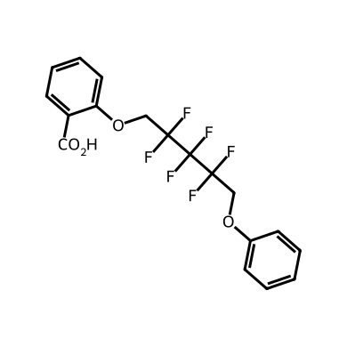 O=C(O)c1ccccc1OCC(F)(F)C(F)(F)C(F)(F)COc1ccccc1